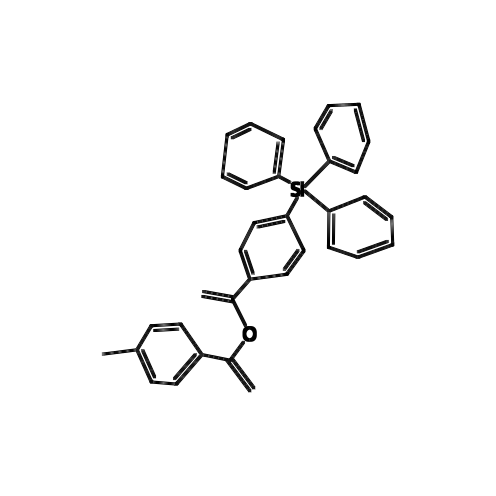 C=C(OC(=C)c1ccc([Si](c2ccccc2)(c2ccccc2)c2ccccc2)cc1)c1ccc(C)cc1